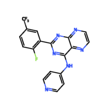 Fc1ccc(C(F)(F)F)cc1-c1nc(Nc2ccncc2)c2nccnc2n1